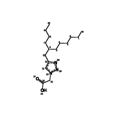 CCCCCCC(CCCC)Cc1cn(CC(=O)O)nn1